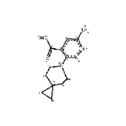 COC(=O)c1cc(C(F)(F)F)nnc1N1CCC2(CC1)CC2